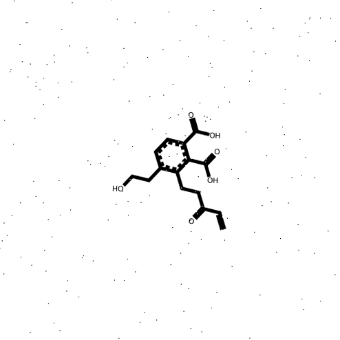 C=CC(=O)CCc1c(CCO)ccc(C(=O)O)c1C(=O)O